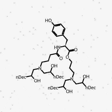 CCCCCCCCCCC(O)CN(CCCOC(=O)[C@H](Cc1ccc(O)cc1)NC(=O)CCCN(CC(O)CCCCCCCCCC)CC(O)CCCCCCCCCC)CC(O)CCCCCCCCCC